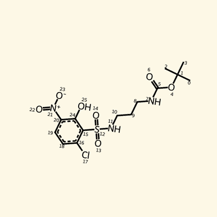 CC(C)(C)OC(=O)NCCCNS(=O)(=O)c1c(Cl)ccc([N+](=O)[O-])c1O